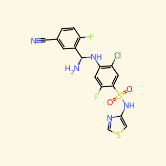 N#Cc1ccc(F)c([C@H](N)Nc2cc(F)c(S(=O)(=O)Nc3cscn3)cc2Cl)c1